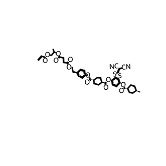 C=CC(=O)OCC(C)OC(=O)CCC(=O)OCCc1ccc(OC(=O)[C@H]2CC[C@H](C(=O)Oc3ccc(OC(=O)[C@H]4CC[C@H](C)CC4)c4c3SC(=C(C#N)C#N)S4)CC2)cc1